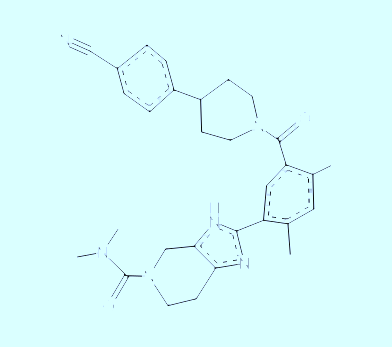 Cc1cc(C)c(-c2nc3c([nH]2)CN(C(=O)N(C)C)CC3)cc1C(=O)N1CCC(c2ccc(C#N)cc2)CC1